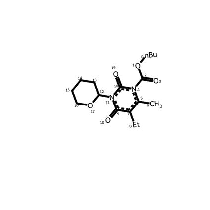 CCCCOC(=O)n1c(C)c(CC)c(=O)n(C2CCCCO2)c1=O